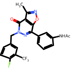 CC(=O)Nc1cccc(-c2nn(Cc3ccc(F)c(C(F)(F)F)c3)c(=O)c3c(C)noc23)c1